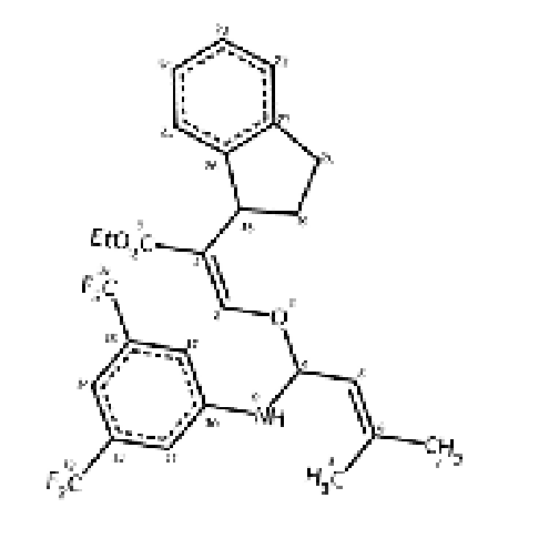 CCOC(=O)/C(=C/OC(C=C(C)C)Nc1cc(C(F)(F)F)cc(C(F)(F)F)c1)C1CCc2ccccc21